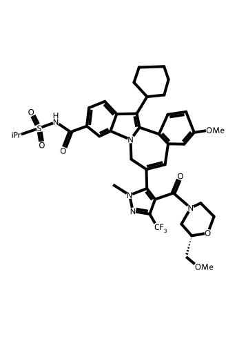 COC[C@@H]1CN(C(=O)c2c(C(F)(F)F)nn(C)c2C2=Cc3cc(OC)ccc3-c3c(C4CCCCC4)c4ccc(C(=O)NS(=O)(=O)C(C)C)cc4n3C2)CCO1